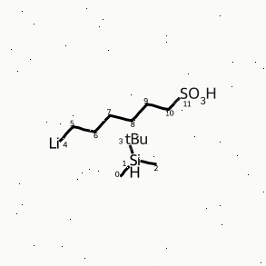 C[SiH](C)C(C)(C)C.[Li][CH2]CCCCCS(=O)(=O)O